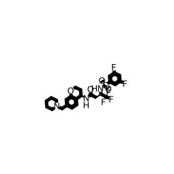 O=C(C[C@@H](NS(=O)(=O)c1cc(F)cc(F)c1)C(F)(F)F)N[C@@H]1CCOc2cc(CN3CCCCC3)ccc21